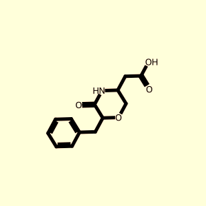 O=C(O)CC1COC(Cc2ccccc2)C(=O)N1